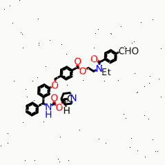 CCN(CCOC(=O)c1ccc(COc2cccc(C(NC(=O)O[C@H]3CN4CCC3CC4)c3ccccc3)c2)cc1)C(=O)c1ccc(C=O)cc1